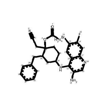 N#CCC1(OC(N)=O)CCC(Nc2c(N)cnc3cc(F)c(Br)cc23)CC1Cc1ccccc1